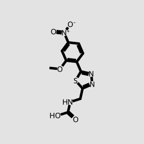 COc1cc([N+](=O)[O-])ccc1-c1nnc(CNC(=O)O)s1